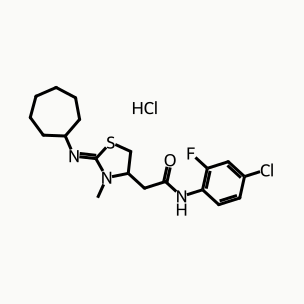 CN1/C(=N/C2CCCCCC2)SCC1CC(=O)Nc1ccc(Cl)cc1F.Cl